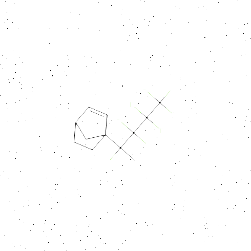 CC(F)(C12C=CC(CC1)C2)C(F)(F)C(F)(F)C(F)(F)F